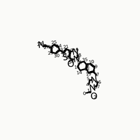 CC(=O)N1CCN(Cc2ccc3c(c2)CC[C@H](n2cnc4cc(-c5ccc(C#N)cc5)sc4c2=O)C3)CC1